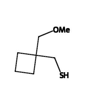 COCC1(CS)CCC1